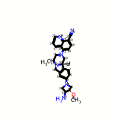 CO[C@H]1CN(c2ccc3c(c2)CN2[C@H](C)CN(c4ccc(C#N)c5ncccc45)C[C@H]32)CC1N